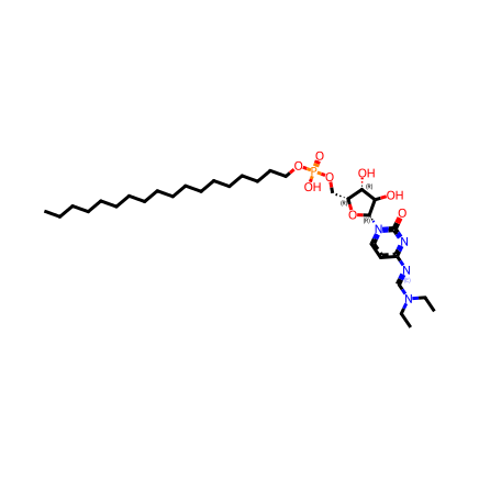 CCCCCCCCCCCCCCCCCCOP(=O)(O)OC[C@H]1O[C@@H](n2ccc(/N=C/N(CC)CC)nc2=O)C(O)[C@H]1O